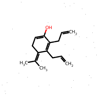 C=CCC1=C(CC=C)C(=C(C)C)CC=C1O